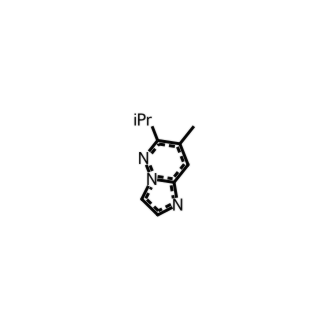 Cc1cc2nccn2nc1C(C)C